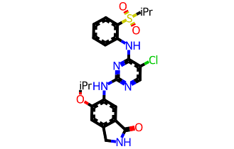 CC(C)Oc1cc2c(cc1Nc1ncc(Cl)c(Nc3ccccc3S(=O)(=O)C(C)C)n1)C(=O)NC2